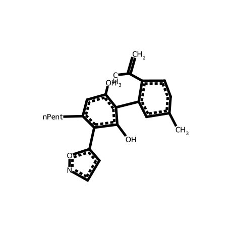 C=C(C)c1ccc(C)cc1-c1c(O)cc(CCCCC)c(-c2ccno2)c1O